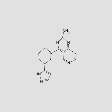 Nc1nc(N2CCCC(c3ccn[nH]3)C2)c2cnccc2n1